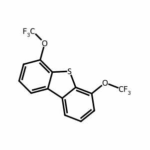 FC(F)(F)Oc1cccc2c1sc1c(OC(F)(F)F)cccc12